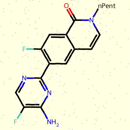 CCCCCn1ccc2cc(-c3ncc(F)c(N)n3)c(F)cc2c1=O